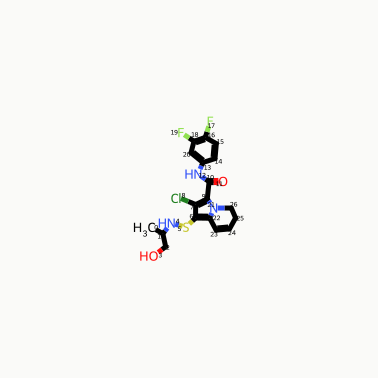 CC(CO)NSc1c(Cl)c(C(=O)Nc2ccc(F)c(F)c2)n2c1C=CCC2